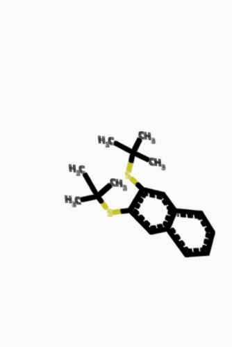 CC(C)(C)Sc1cc2ccccc2cc1SC(C)(C)C